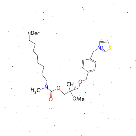 CCCCCCCCCCCCCCCCCCN(C)C(=O)OCC(C)(COCc1ccc(C[n+]2ccsc2)cc1)OC